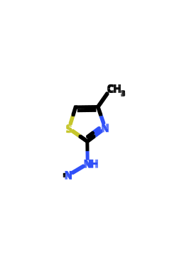 Cc1csc(N[N])n1